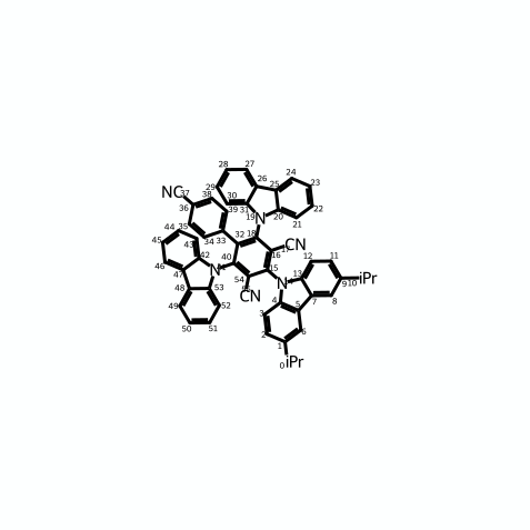 CC(C)c1ccc2c(c1)c1cc(C(C)C)ccc1n2-c1c(C#N)c(-n2c3ccccc3c3ccccc32)c(-c2ccc(C#N)cc2)c(-n2c3ccccc3c3ccccc32)c1C#N